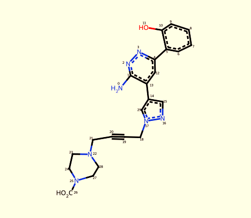 Nc1nnc(-c2ccccc2O)cc1-c1cnn(CC#CCN2CCN(C(=O)O)CC2)c1